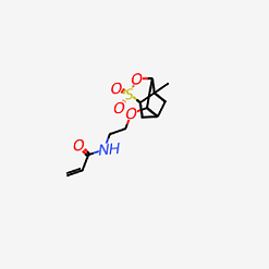 C=CC(=O)NCCOC1C2CC3C(C)(C2)C1OS3(=O)=O